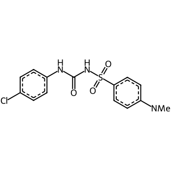 CNc1ccc(S(=O)(=O)NC(=O)Nc2ccc(Cl)cc2)cc1